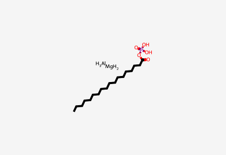 CCCCCCCCCCCCCCCCCC(=O)OP(=O)(O)O.[AlH3].[MgH2]